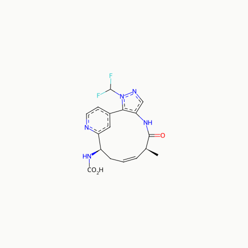 C[C@H]1C=CC[C@@H](NC(=O)O)c2cc(ccn2)-c2c(cnn2C(F)F)NC1=O